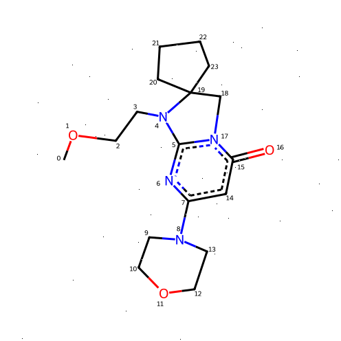 COCCN1c2nc(N3CCOCC3)cc(=O)n2CC12CCCC2